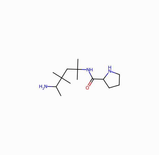 CC(N)C(C)(C)CC(C)(C)NC(=O)C1CCCN1